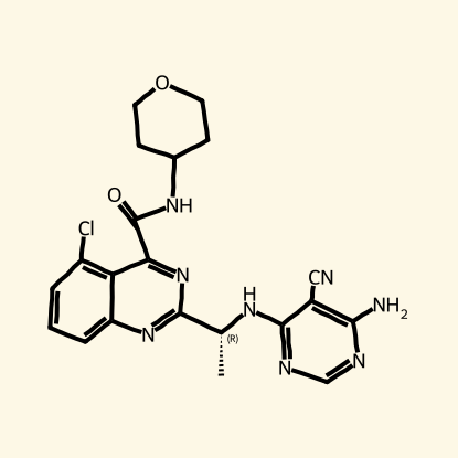 C[C@@H](Nc1ncnc(N)c1C#N)c1nc(C(=O)NC2CCOCC2)c2c(Cl)cccc2n1